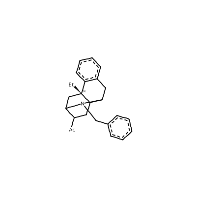 CC[C@]12CC3C(C(C)=O)CC1C(Cc1ccccc12)N3Cc1ccccc1